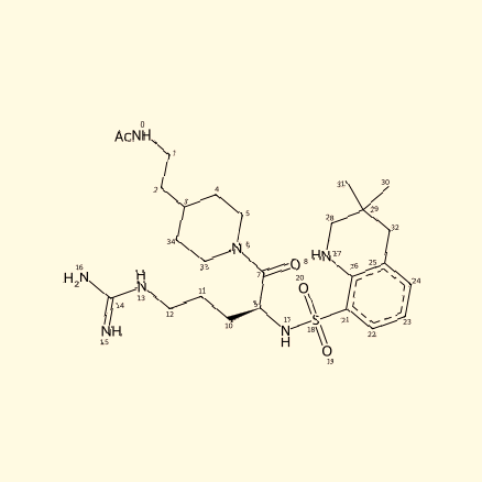 CC(=O)NCCC1CCN(C(=O)[C@H](CCCNC(=N)N)NS(=O)(=O)c2cccc3c2NCC(C)(C)C3)CC1